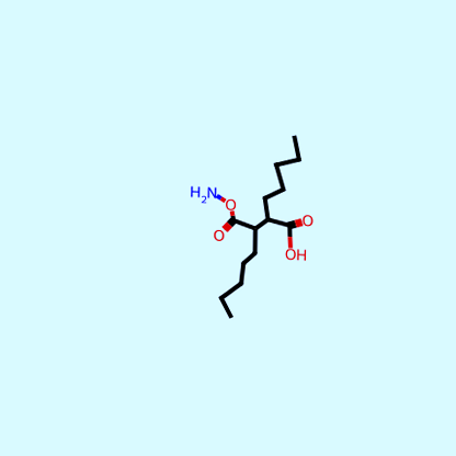 CCCCCC(C(=O)O)C(CCCCC)C(=O)ON